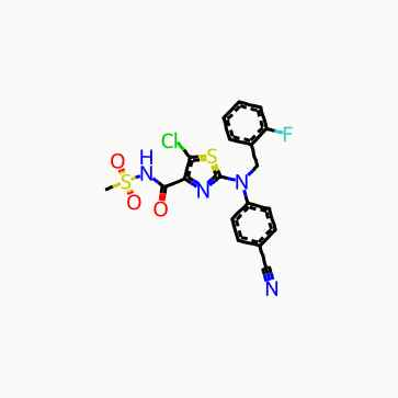 CS(=O)(=O)NC(=O)c1nc(N(Cc2ccccc2F)c2ccc(C#N)cc2)sc1Cl